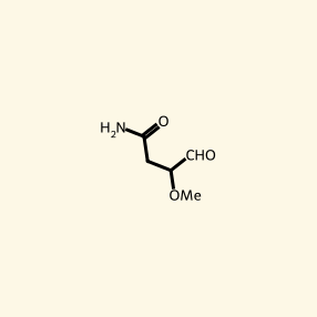 COC(C=O)CC(N)=O